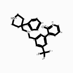 FC(F)(F)c1cc(COCC2(c3ccccc3)CCNCC2)cc(-c2cccnc2Cl)c1